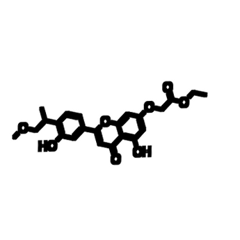 CCOC(=O)COc1cc(O)c2c(=O)cc(-c3ccc(C(C)COC)c(O)c3)oc2c1